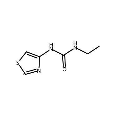 CCNC(=O)Nc1cs[c]n1